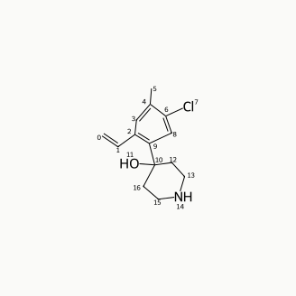 C=Cc1cc(C)c(Cl)cc1C1(O)CCNCC1